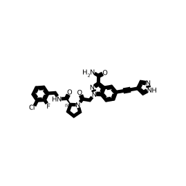 NC(=O)c1nn(CC(=O)N2CCC[C@H]2C(=O)NCc2cccc(Cl)c2F)c2ccc(C#Cc3cn[nH]c3)cc12